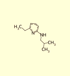 CCc1cccc(NCC(C)C)n1